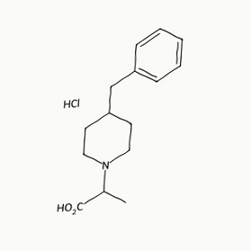 CC(C(=O)O)N1CCC(Cc2ccccc2)CC1.Cl